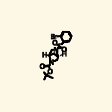 CC(C)(C)OC(=O)N1C[C@H]2C[C@@H]1CN2S(=O)(=O)c1ccccc1Br